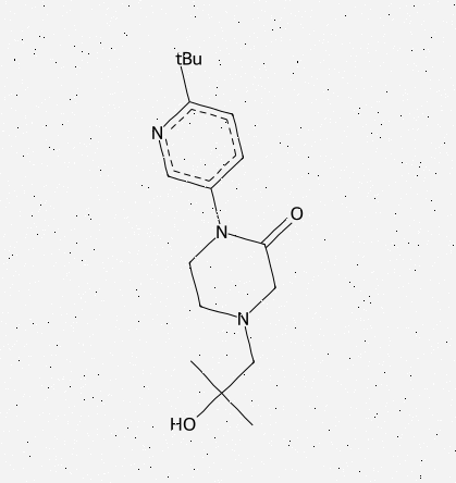 CC(C)(O)CN1CCN(c2ccc(C(C)(C)C)nc2)C(=O)C1